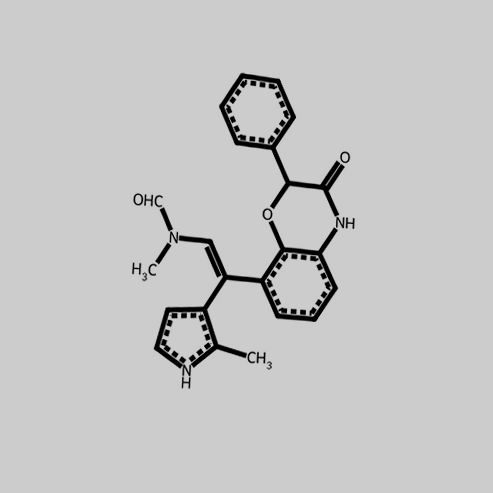 Cc1[nH]ccc1/C(=C\N(C)C=O)c1cccc2c1OC(c1ccccc1)C(=O)N2